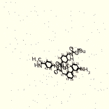 CC(=N)c1ccc(NC(=O)[C@H](Cc2cccc(-c3cc(N)ccc3C)c2)NC(=O)C2CCC(CNC(=O)OC(C)(C)C)CC2)cc1